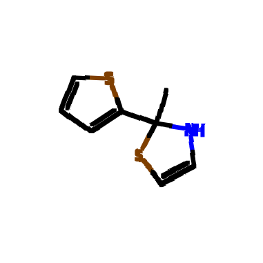 CC1(c2cccs2)NC=CS1